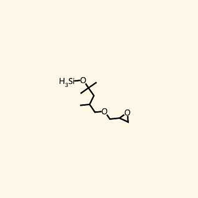 CC(COCC1CO1)CC(C)(C)O[SiH3]